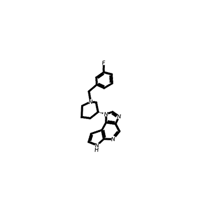 Fc1cccc(CN2CCC[C@@H](n3cnc4cnc5[nH]ccc5c43)C2)c1